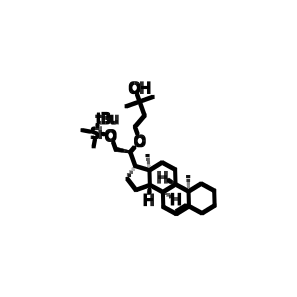 CC(C)(O)CCO[C@H](CO[Si](C)(C)C(C)(C)C)[C@H]1CC[C@H]2[C@@H]3CC=C4CCCC[C@]4(C)[C@H]3CC[C@]12C